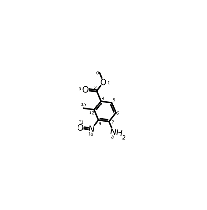 COC(=O)c1ccc(N)c(N=O)c1C